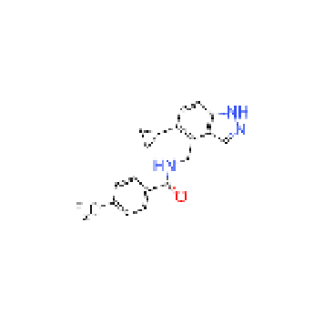 O=C(NCc1c(C2CC2)ccc2[nH]ncc12)c1ccc(C(F)(F)F)cc1